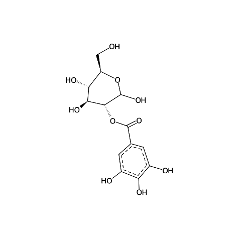 O=C(O[C@H]1C(O)O[C@H](CO)[C@@H](O)[C@@H]1O)c1cc(O)c(O)c(O)c1